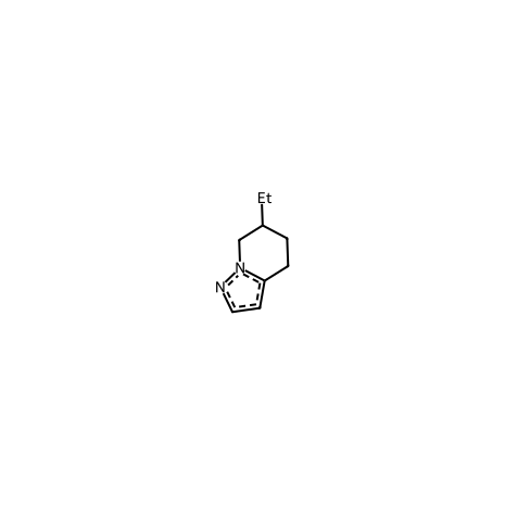 CCC1CCc2ccnn2C1